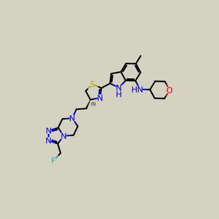 Cc1cc(NC2CCOCC2)c2[nH]c(C3=N[C@@H](CCN4CCn5c(CF)nnc5C4)CS3)cc2c1